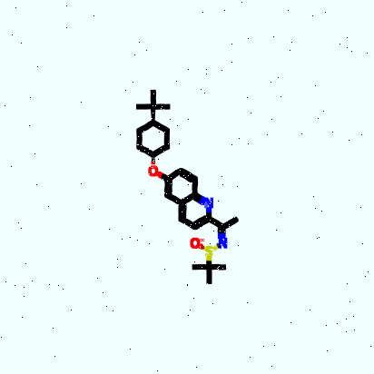 C/C(=N/[S@+]([O-])C(C)(C)C)c1ccc2cc(O[C@H]3CC[C@H](C(C)(C)C)CC3)ccc2n1